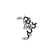 C=C1CC(CO)OC1CC[C@H]1C[C@@H](C)C(=C)C(C[C@@H]2O[C@H]3C[C@@H](C)[C@@H](CCC)O[C@H]3[C@H](C)C2O[Si](CC)(CC)CC)O1